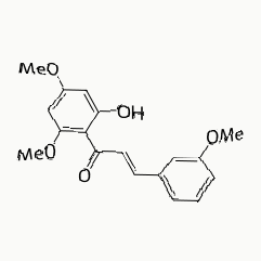 COc1cccc(C=CC(=O)c2c(O)cc(OC)cc2OC)c1